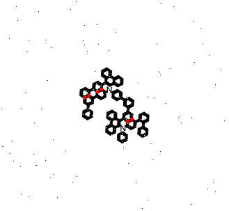 c1ccc(-c2ccc(-c3c(N(c4ccc(-c5cccc(-c6ccccc6)c5)cc4)c4ccc(-c5cccc(-c6cccc(-c7c(N(c8ccccc8)c8ccc(-c9ccccc9-c9ccccc9)cc8)c8ccccc8c8ccccc78)c6)c5)cc4)c4ccccc4c4ccccc34)cc2)cc1